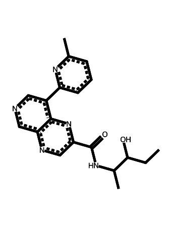 CCC(O)C(C)NC(=O)c1cnc2cncc(-c3cccc(C)n3)c2n1